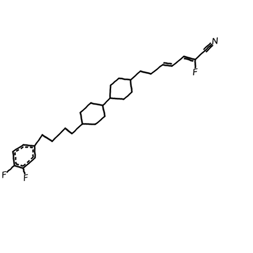 N#CC(F)=CC=CCCC1CCC(C2CCC(CCCCc3ccc(F)c(F)c3)CC2)CC1